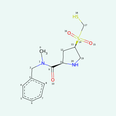 CN(Cc1ccccc1)C(=O)[C@H]1C[C@@H](S(=O)(=O)CS)CN1